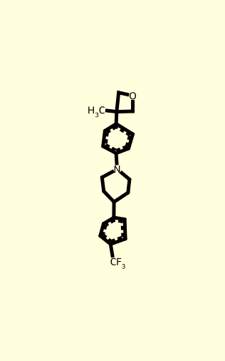 CC1(c2ccc(N3CCC(c4ccc(C(F)(F)F)cc4)CC3)cc2)COC1